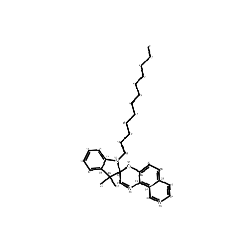 CCCCCCCCCCCCN1c2ccccc2C(C)(C)C12C=Nc1c(ccc3ccncc13)O2